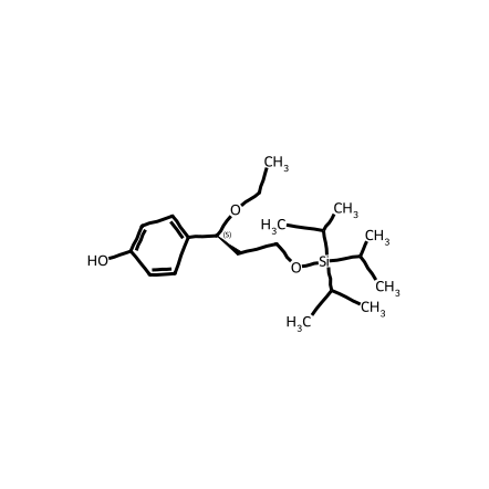 CCO[C@@H](CCO[Si](C(C)C)(C(C)C)C(C)C)c1ccc(O)cc1